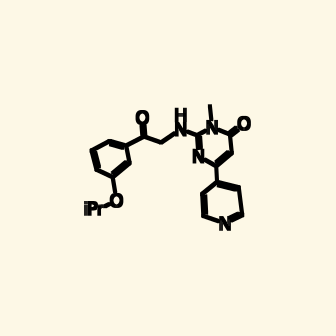 CC(C)Oc1cccc(C(=O)CNc2nc(-c3ccncc3)cc(=O)n2C)c1